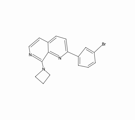 Brc1cccc(-c2ccc3ccnc(N4CCC4)c3n2)c1